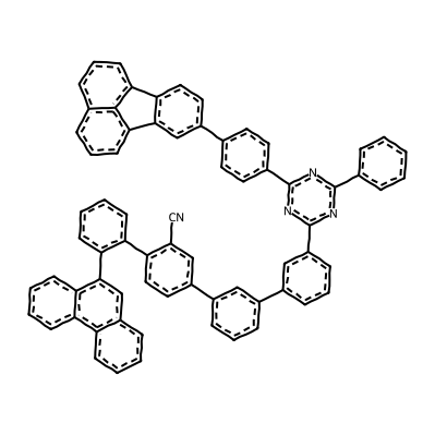 N#Cc1cc(-c2cccc(-c3cccc(-c4nc(-c5ccccc5)nc(-c5ccc(-c6ccc7c(c6)-c6cccc8cccc-7c68)cc5)n4)c3)c2)ccc1-c1ccccc1-c1cc2ccccc2c2ccccc12